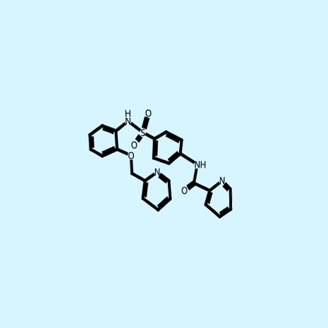 O=C(Nc1ccc(S(=O)(=O)Nc2ccccc2OCc2ccccn2)cc1)c1ccccn1